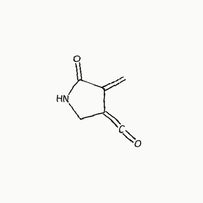 C=C1C(=O)NCC1=C=O